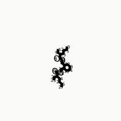 CCCCC(CC)C(=O)OCC1CCCCC1COC(=O)C(CC)CCCC